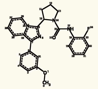 COc1cccc(-c2nc(C3CCCN3C(=O)Nc3ccccc3F)n3ccccc23)c1